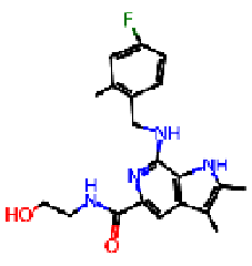 Cc1cc(F)ccc1CNc1nc(C(=O)NCCO)cc2c(C)c(C)[nH]c12